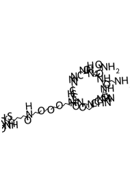 NCCCC[C@@H]1NC(=O)[C@H](CCC(N)=O)NC(=O)[C@@H](N)Cc2cn(nn2)CCCC[C@@H](C(=O)NCCCOCCOCCOCCCNC(=O)CCCCC2SC[C@H]3NC(=O)N[C@@H]23)NC(=O)C2CCCN2CCNC(=O)[C@H](Cc2c[nH]cn2)NC1=O